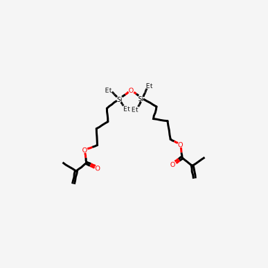 C=C(C)C(=O)OCCCC[Si](CC)(CC)O[Si](CC)(CC)CCCCOC(=O)C(=C)C